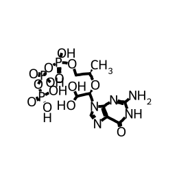 C[C@@H](COP(=O)(O)OP(=O)(O)OP(=O)(O)O)O[C@H](C(O)O)n1cnc2c(=O)[nH]c(N)nc21